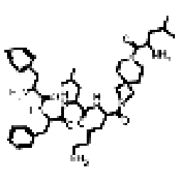 CC(C)CC(N)C(=O)N1CCC2(CC1)CN(C(=O)C(CCCCN)NC(=O)C(CC(C)C)NC(=O)C(Cc1ccccc1)NC(=O)C(N)Cc1ccccc1)C2